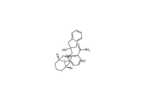 CO[C@@]1(c2cccc(C(N)=O)c2)[C@@H]2CCC[C@H]1CN(CC1(O)Cc3ccccc3C1)C2.Cl